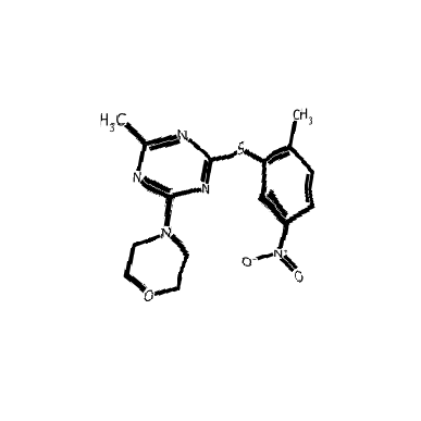 Cc1nc(Sc2cc([N+](=O)[O-])ccc2C)nc(N2CCOCC2)n1